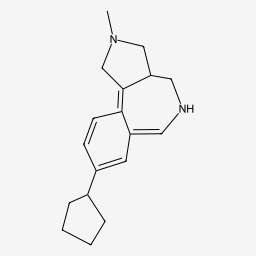 CN1CC2=c3ccc(C4CCCC4)cc3=CNCC2C1